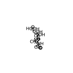 O=P(O)(O)COCC1O[C@@H](n2ccc3c(N[C@H](CO)c4ccccc4)nc(Cl)nc32)[C@H](O)[C@@H]1O